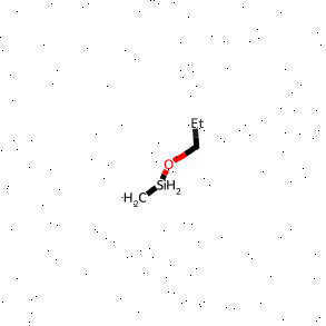 [CH2][SiH2]OCCC